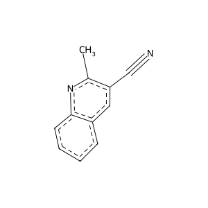 Cc1nc2ccccc2cc1C#N